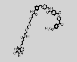 COc1ccc(C(=O)C2CCN(C(=O)c3ccc(C(=O)NC4CCN(Cc5ccc(NC(=O)CCOCCOCCOCCNC(=O)CCCCC6SC[C@@H]7NC(=O)N[C@H]67)cc5)CC4)nc3)CC2)cc1